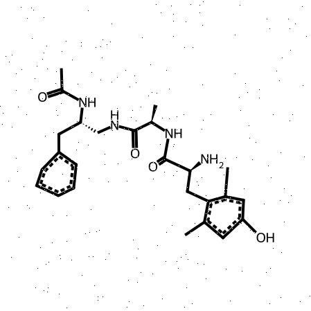 CC(=O)N[C@H](CNC(=O)[C@@H](C)NC(=O)[C@@H](N)Cc1c(C)cc(O)cc1C)Cc1ccccc1